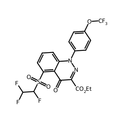 CCOC(=O)c1nn(-c2ccc(OC(F)(F)F)cc2)c2cccc(S(=O)(=O)C(F)C(F)F)c2c1=O